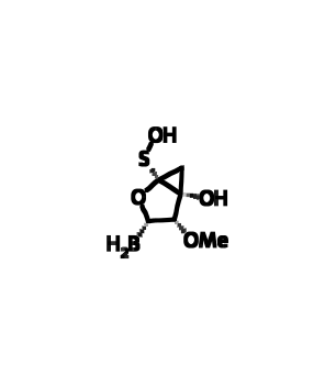 B[C@@H]1O[C@@]2(SO)C[C@@]2(O)[C@@H]1OC